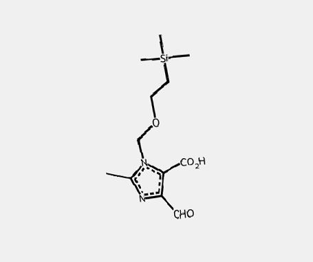 Cc1nc(C=O)c(C(=O)O)n1COCC[Si](C)(C)C